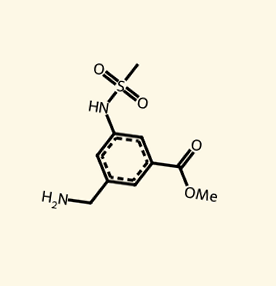 COC(=O)c1cc(CN)cc(NS(C)(=O)=O)c1